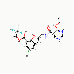 CCOc1ncncc1C(=O)NCc1cc2cc(Cl)cc(C(=O)OC(C)C(F)(F)F)c2o1